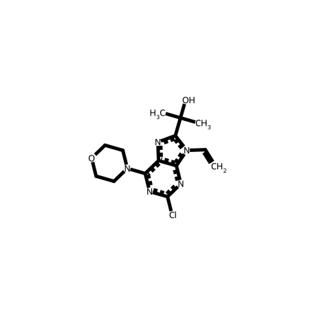 C=Cn1c(C(C)(C)O)nc2c(N3CCOCC3)nc(Cl)nc21